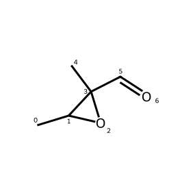 CC1OC1(C)C=O